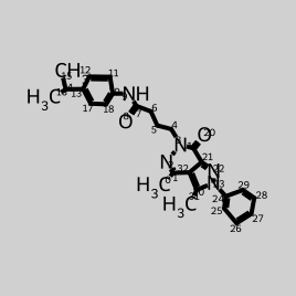 Cc1nn(CCCC(=O)Nc2ccc(C(C)C)cc2)c(=O)c2nn(-c3ccccc3)c(C)c12